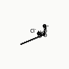 CCCCCCCCCCCCCCCCCCOCC(CS(=O)(=O)CCOCC[n+]1ccccc1)Oc1ncccn1.[Cl-]